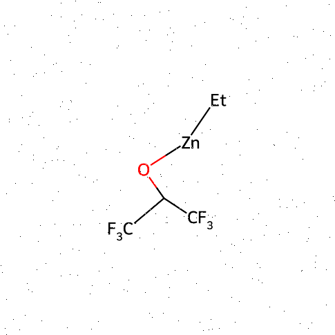 [CH2][CH2][Zn][O]C(C(F)(F)F)C(F)(F)F